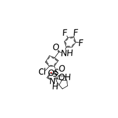 O=C(Nc1cc(F)c(F)c(F)c1)c1ccc(Cl)c(S(=O)(=O)[C@@H]2CC3CC[C@@H](C2)[C@@]3(O)c2nccs2)c1